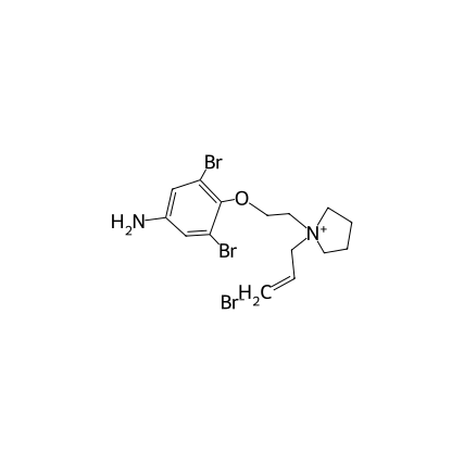 C=CC[N+]1(CCOc2c(Br)cc(N)cc2Br)CCCC1.[Br-]